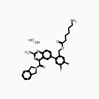 Cl.Cl.NCCCCCC(=O)OCc1cc(F)c(F)cc1-c1ccc2nc(N)nc(C(=O)N3Cc4ccccc4C3)c2c1